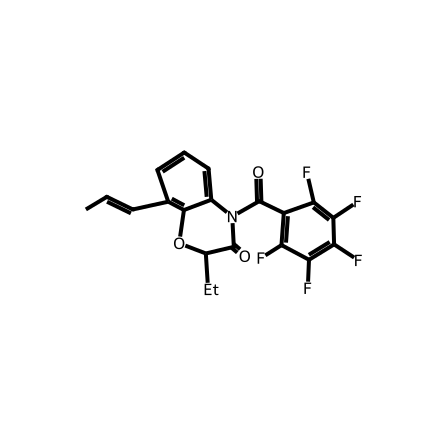 CC=Cc1cccc2c1OC(CC)C(=O)N2C(=O)c1c(F)c(F)c(F)c(F)c1F